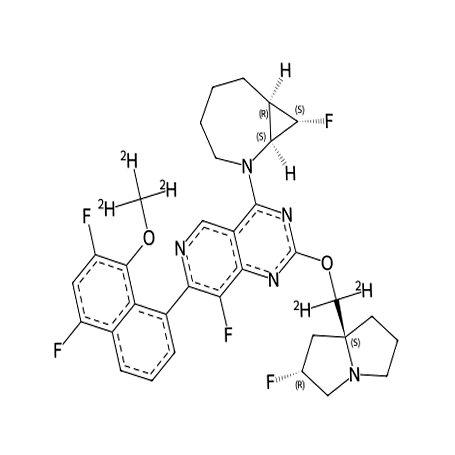 [2H]C([2H])([2H])Oc1c(F)cc(F)c2cccc(-c3ncc4c(N5CCCC[C@H]6[C@H](F)[C@H]65)nc(OC([2H])([2H])[C@@]56CCCN5C[C@H](F)C6)nc4c3F)c12